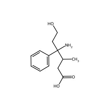 CC(CC(=O)O)C(N)(CCO)c1ccccc1